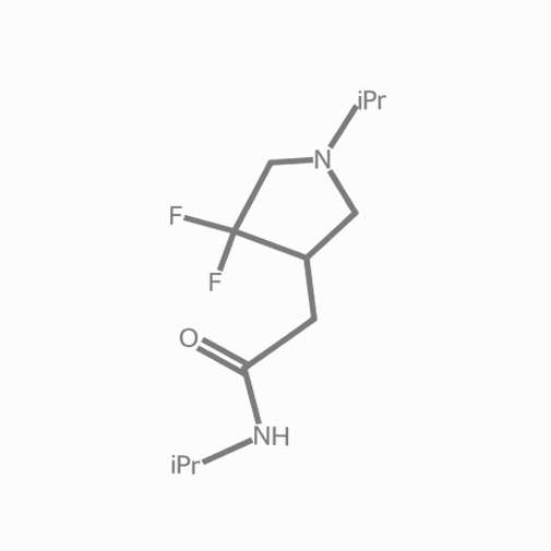 CC(C)NC(=O)CC1CN(C(C)C)CC1(F)F